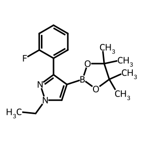 CCn1cc(B2OC(C)(C)C(C)(C)O2)c(-c2ccccc2F)n1